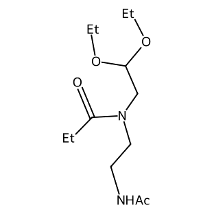 CCOC(CN(CCNC(C)=O)C(=O)CC)OCC